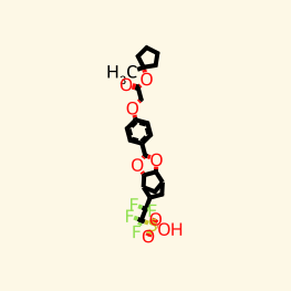 CC1(OC(=O)COc2ccc(C3OC4C5CC(C4O3)C(C(F)(F)C(F)(F)S(=O)(=O)O)C5)cc2)CCCC1